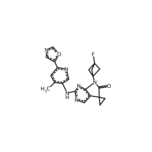 Cc1cc(-c2cnco2)ncc1Nc1ncc2c(n1)N(C13CC(F)(C1)C3)C(=O)C21CC1